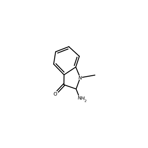 CN1c2ccccc2C(=O)C1N